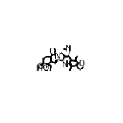 CC[C@@]1(O)C(=O)CCc2c1cc1n(c2=O)Cc2c-1nc1c(C)c3c(c(C)c1c2CN(C)C)OCC3